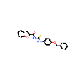 O=C(NC(=S)Nc1ccc(OCc2ccccc2)cc1)c1cc2ccccc2o1